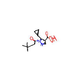 CC(C)(C)CC(=O)n1ncc(C(=O)O)c1C1CC1